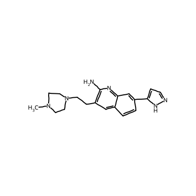 CN1CCN(CCc2cc3ccc(-c4ccn[nH]4)cc3nc2N)CC1